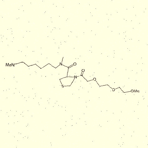 CNCCCCCCN(C)C(=O)C1CSCN1C(=O)COCCOCCOC